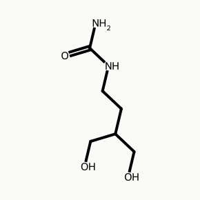 NC(=O)NCCC(CO)CO